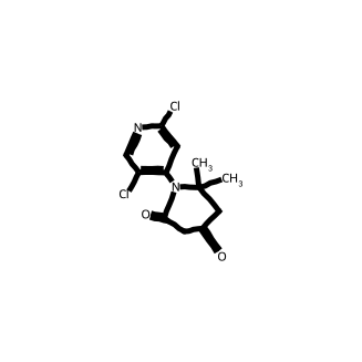 CC1(C)CC(=O)CC(=O)N1c1cc(Cl)ncc1Cl